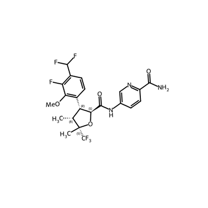 COc1c([C@@H]2[C@@H](C(=O)Nc3ccc(C(N)=O)nc3)O[C@](C)(C(F)(F)F)[C@@H]2C)ccc(C(F)F)c1F